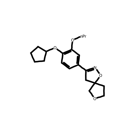 CCCOc1cc(C2=NOC3(CCOC3)C2)ccc1OC1CCCC1